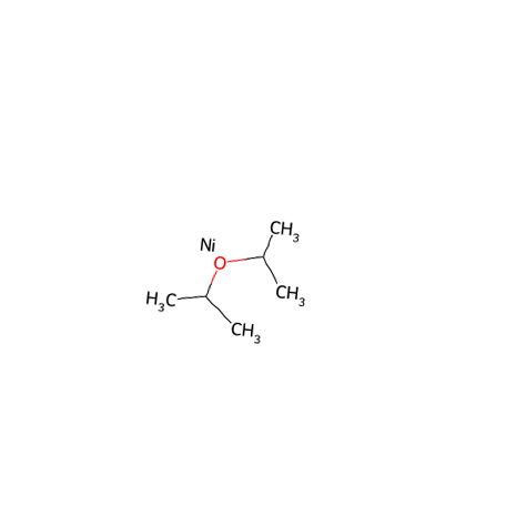 CC(C)OC(C)C.[Ni]